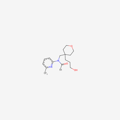 CCC(=O)N(CC1(CCCO)CCOCC1)c1cccc(C(F)(F)F)n1